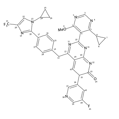 COc1ncnc(C2CC2)c1-c1nc(Cc2ccc(-c3nc(C(F)(F)F)cn3C3CC3)cc2)c2c(n1)=NC(=O)C(c1cncc(F)c1)C=2